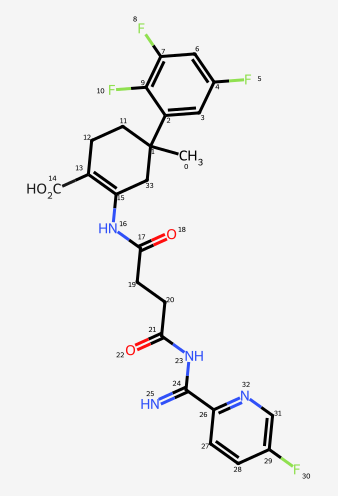 CC1(c2cc(F)cc(F)c2F)CCC(C(=O)O)=C(NC(=O)CCC(=O)NC(=N)c2ccc(F)cn2)C1